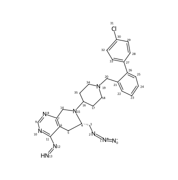 [N-]=[N+]=NC[C@@H]1Cc2c(ncnc2N=N)CN1C1CCN(Cc2ccccc2-c2ccc(Cl)cc2)CC1